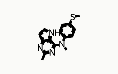 CSc1ccc(N(C)c2nc(C)nc3cc[nH]c23)cc1